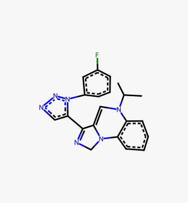 CC(C)N1C=C2C(c3cnnn3-c3cccc(F)c3)=NCN2c2ccccc21